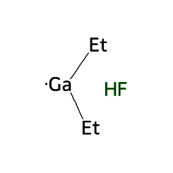 C[CH2][Ga][CH2]C.F